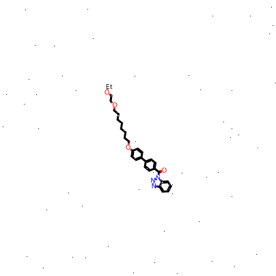 CCOCCOCCCCCCCCOc1ccc(-c2ccc(C(=O)n3nnc4ccccc43)cc2)cc1